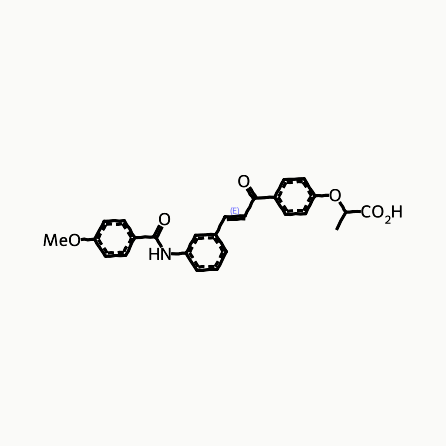 COc1ccc(C(=O)Nc2cccc(/C=C/C(=O)c3ccc(OC(C)C(=O)O)cc3)c2)cc1